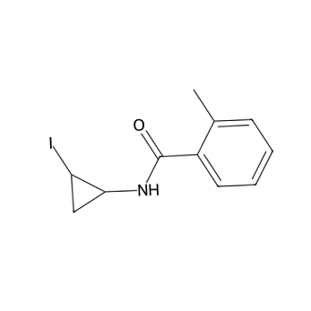 Cc1ccccc1C(=O)NC1CC1I